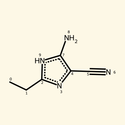 CCc1nc(C#N)c(N)[nH]1